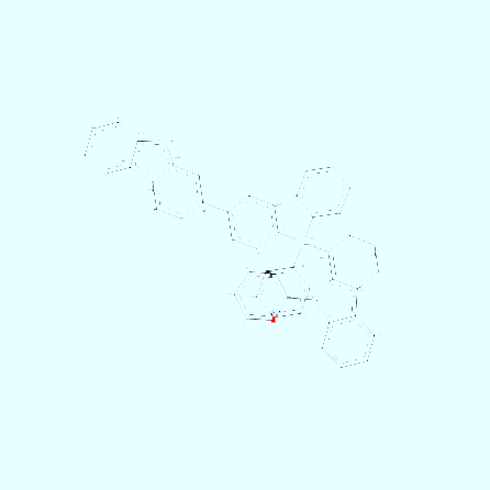 C[C@@H]1C=c2c(n(-c3ccccc3)c3ccccc23)=C([Si](c2ccccc2)(c2ccccc2)c2ccc(-c3ccc4c(c3)oc3ccccc34)cc2)C1